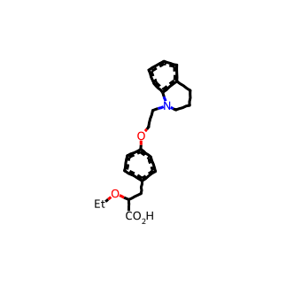 CCOC(Cc1ccc(OCCN2CCCc3ccccc32)cc1)C(=O)O